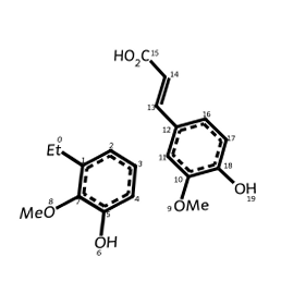 CCc1cccc(O)c1OC.COc1cc(C=CC(=O)O)ccc1O